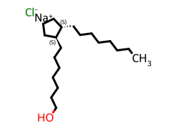 CCCCCCCC[C@H]1CCC[C@@H]1CCCCCCCO.[Cl-].[Na+]